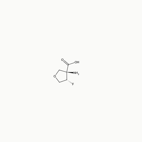 N[C@]1(C(=O)O)COC[C@H]1F